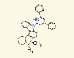 CC1(C)C2=C(CCCC2)c2c1ccc1c2c2ccccc2n1C1C=C(c2ccccc2)C=C(c2ccccc2)N1